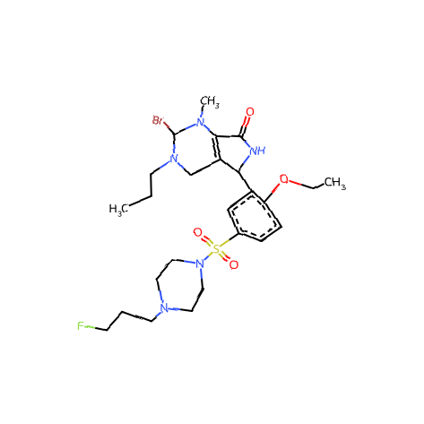 CCCN1CC2=C(C(=O)NC2c2cc(S(=O)(=O)N3CCN(CCCF)CC3)ccc2OCC)N(C)C1Br